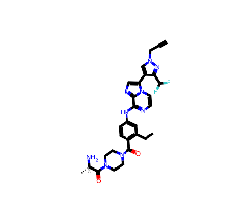 C#CCn1cc(-c2cnc3c(Nc4ccc(C(=O)N5CCN(C(=O)[C@H](C)N)CC5)c(CC)c4)nccn23)c(C(F)F)n1